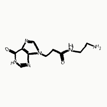 NCCNC(=O)CCn1cnc2c(=O)[nH]cnc21